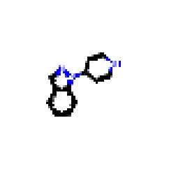 C1=CC(n2ncc3ccccc32)C=CN1